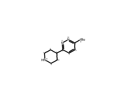 CC(C)(C)c1ccc(C2CCNCC2)nn1